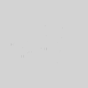 CC(C)(C)OOC[SiH](c1ccccc1)c1ccccc1